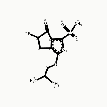 CC(C)COc1sc(S(C)(=O)=O)c2c1CC(F)C2=O